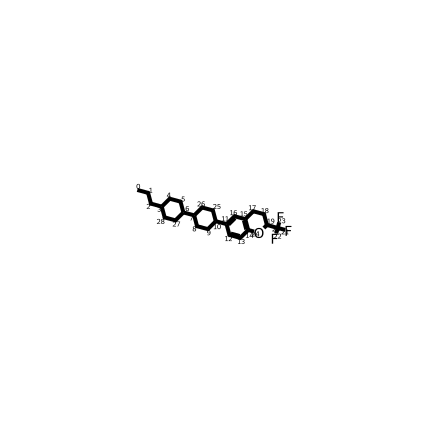 CCCC1CCC(C2CCC(c3ccc4c(c3)CCC(C(F)(F)F)O4)CC2)CC1